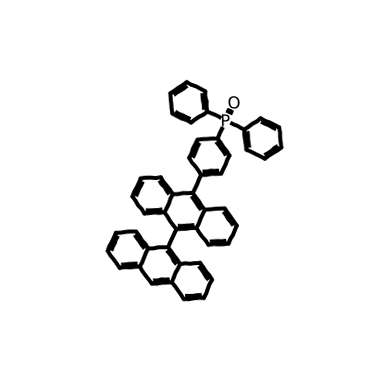 O=P(c1ccccc1)(c1ccccc1)c1ccc(-c2c3ccccc3c(-c3c4ccccc4cc4ccccc34)c3ccccc23)cc1